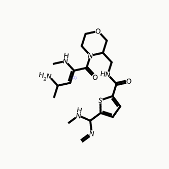 C=NC(NC)c1ccc(C(=O)NCC2COCCN2C(=O)/C(=C/C(C)N)NC)s1